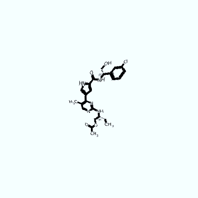 CC[C@H](COC(C)=O)Nc1ncc(C)c(-c2c[nH]c(C(=O)N[C@H](CO)c3cccc(Cl)c3)c2)n1